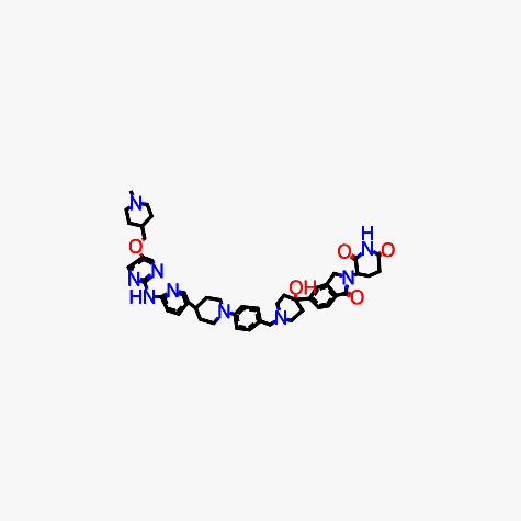 CN1CCC(COc2cnc(Nc3ccc(C4CCN(c5ccc(CN6CCC(O)(c7ccc8c(c7)CN(C7CCC(=O)NC7=O)C8=O)CC6)cc5)CC4)cn3)nc2)CC1